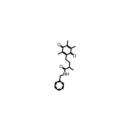 CC1=C(C)C(=O)C(CCC(C)C(=O)NCc2ccccc2)=C(C)C1=O